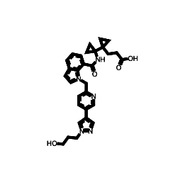 O=C(O)CCC1(C2(NC(=O)c3cccc4ccn(Cc5ccc(-c6cnn(CCCO)c6)cn5)c34)CC2)CC1